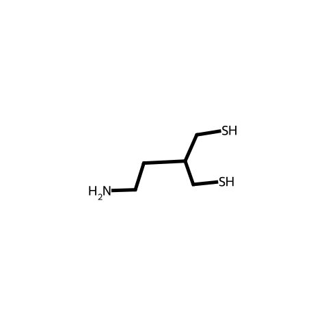 NCCC(CS)CS